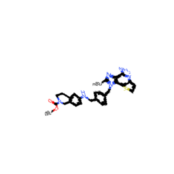 CCCCc1nc2c(N)nc3ccsc3c2n1Cc1ccc(CNc2ccc3c(c2)CCN(C(=O)OC(C)(C)C)C3)cc1